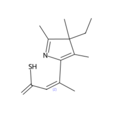 C=C(S)/C=C(/C)C1=C(C)C(C)(CC)C(C)=N1